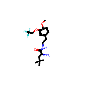 COc1ccc(CCNC(=O)C(N)CC(C)(C)C)cc1OCC(F)(F)F